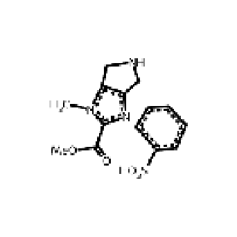 COC(=O)c1nc2c(n1C)CNC2.O=S(=O)(O)c1ccccc1